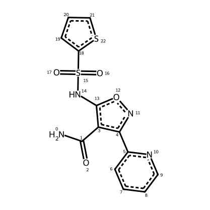 NC(=O)c1c(-c2ccccn2)noc1NS(=O)(=O)c1cccs1